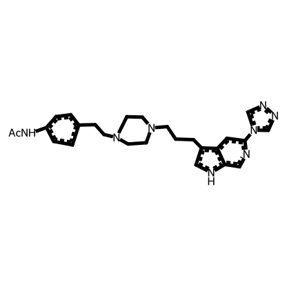 CC(=O)Nc1ccc(CCN2CCN(CCCc3c[nH]c4cnc(-n5cnnc5)cc34)CC2)cc1